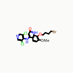 COc1ccc2c(Nc3c(Cl)cncc3Cl)cc(=O)[nH]c2c1OCCCCBr